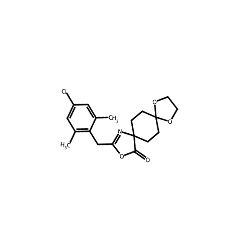 Cc1cc(Cl)cc(C)c1CC1=NC2(CCC3(CC2)OCCO3)C(=O)O1